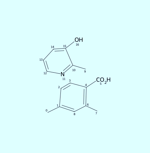 Cc1ccc(C(=O)O)c(C)c1.Cc1ncccc1O